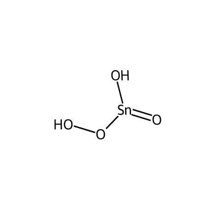 [O]=[Sn]([OH])[O]O